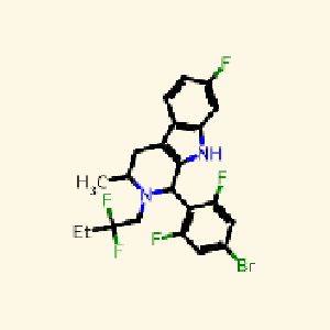 CCC(F)(F)CN1C(C)Cc2c([nH]c3cc(F)ccc23)C1c1c(F)cc(Br)cc1F